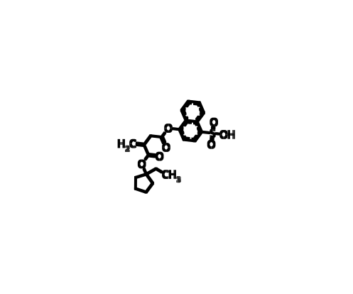 C=C(CC(=O)Oc1ccc(S(=O)(=O)O)c2ccccc12)C(=O)OC1(CC)CCCC1